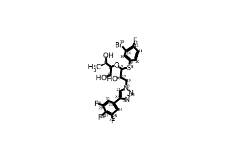 C[C@@H](O)C(CO)OC(Sc1ccc(F)c(Br)c1)[C@@H](O)Cn1cc(-c2cc(F)c(F)c(F)c2)nn1